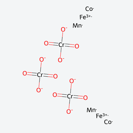 [Co].[Co].[Fe+3].[Fe+3].[Mn].[Mn].[O]=[Cr](=[O])([O-])[O-].[O]=[Cr](=[O])([O-])[O-].[O]=[Cr](=[O])([O-])[O-]